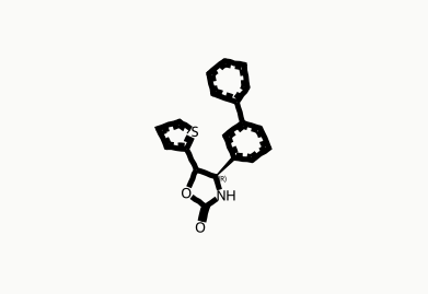 O=C1N[C@H](c2cccc(-c3ccccc3)c2)C(c2cccs2)O1